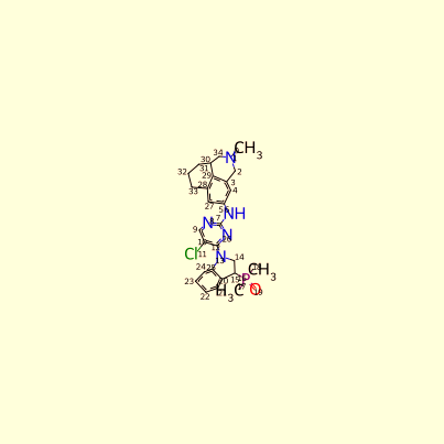 CN1Cc2cc(Nc3ncc(Cl)c(N4CC(P(C)(C)=O)c5ccccc54)n3)cc3c2C(CCC3)C1